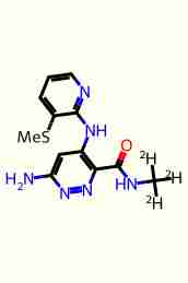 [2H]C([2H])([2H])NC(=O)c1nnc(N)cc1Nc1ncccc1SC